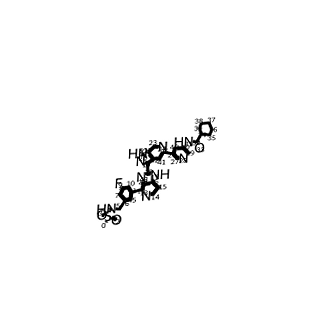 CS(=O)(=O)NCc1cc(F)cc(-c2nccc3[nH]c(-c4n[nH]c5cnc(-c6cncc(NC(=O)C7CCCCC7)c6)cc45)nc23)c1